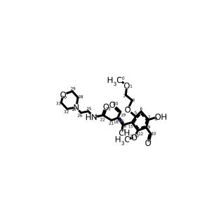 COCCOc1cc(O)c(C=O)c(OC)c1/C(C)=C(\C=O)CC(=O)NCCN1CCOCC1